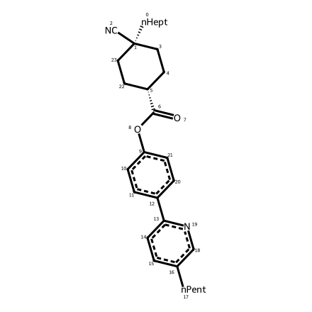 CCCCCCC[C@]1(C#N)CC[C@H](C(=O)Oc2ccc(-c3ccc(CCCCC)cn3)cc2)CC1